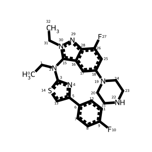 CCN(c1nc(-c2ccc(F)cc2)cs1)c1c2cc(N3CCNCC3)cc(F)c2nn1CC